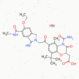 Br.CCOc1cc2c(cc1C(=O)NC)C(=N)N(CC(=O)c1cc(C(C)(C)C)c3c(c1C)N(C(N)=O)C(=O)C(CC(=O)O)O3)C2